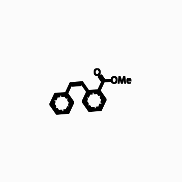 COC(=O)c1ccccc1/C=C\c1ccccc1